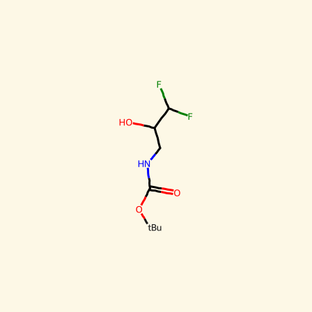 CC(C)(C)OC(=O)NCC(O)C(F)F